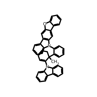 CC1(c2ccccc2-n2c3ccccc3c3cc4oc5ccccc5c4cc32)CC=CC=C1n1c2ccccc2c2ccccc21